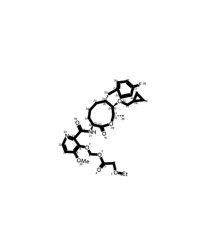 CCOCC(=O)OCOc1c(OC)ccnc1C(=O)N[C@H]1CCC[C@H](Cc2ccc(F)cc2)[C@@H](OCC2CC2)[C@H](C)OC1=O